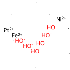 [Fe+2].[Ni+2].[OH-].[OH-].[OH-].[OH-].[OH-].[OH-].[Pt+2]